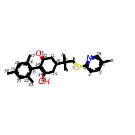 Cc1ccc(SCC(C)(C)C2CC(=O)C(c3c(C)cc(C)cc3C)=C(O)C2)nc1